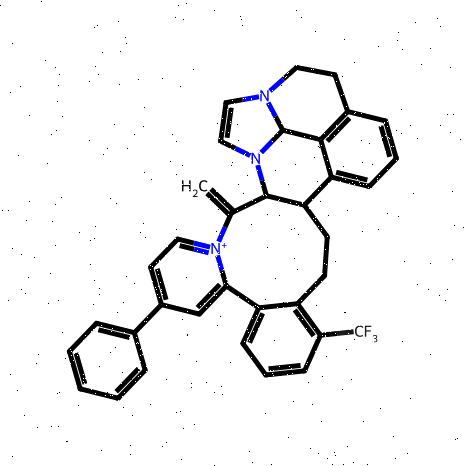 C=C1C2C(CCc3c(cccc3C(F)(F)F)-c3cc(-c4ccccc4)cc[n+]31)c1cccc3c1C1N(C=CN21)CC3